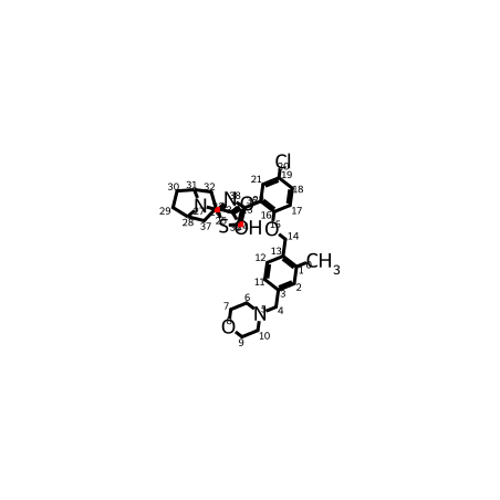 Cc1cc(CN2CCOCC2)ccc1COc1ccc(Cl)cc1-c1csc(N2C3CCC2CC(C(=O)O)C3)n1